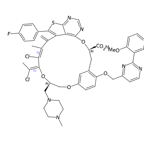 C=C1/C(C)=C(Cl)\C(=C(/C)Cl)O[C@H](CN2CCN(C)CC2)COc2ccc(OCc3ccnc(-c4ccccc4OC)n3)c(c2)C[C@H](C(=O)O)Oc2ncnc3sc(-c4ccc(F)cc4)c1c23